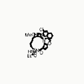 CCC(=O)N[S@]1(=O)=NC(=O)c2ccc3c(c2)N(C[C@@H]2CC[C@H]2[C@@H](OC)/C=C/CCC1)C[C@@]1(CCCc2cc(Cl)ccc21)CO3